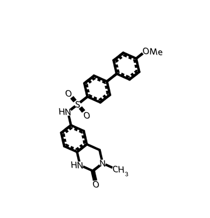 COc1ccc(-c2ccc(S(=O)(=O)Nc3ccc4c(c3)CN(C)C(=O)N4)cc2)cc1